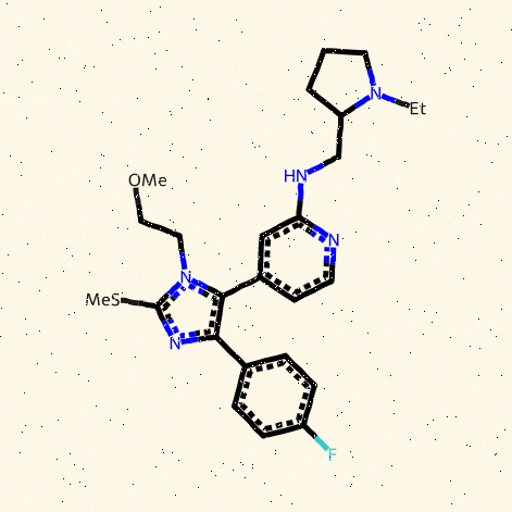 CCN1CCCC1CNc1cc(-c2c(-c3ccc(F)cc3)nc(SC)n2CCOC)ccn1